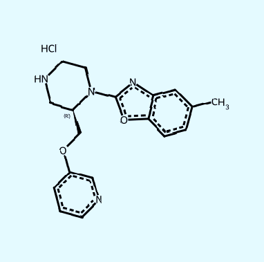 Cc1ccc2oc(N3CCNC[C@@H]3COc3cccnc3)nc2c1.Cl